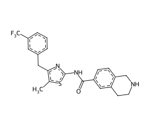 Cc1sc(NC(=O)c2ccc3c(c2)CCNC3)nc1Cc1cccc(C(F)(F)F)c1